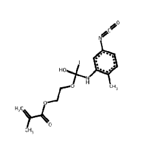 C=C(C)C(=O)OCCOC(O)(I)Nc1cc(N=C=O)ccc1C